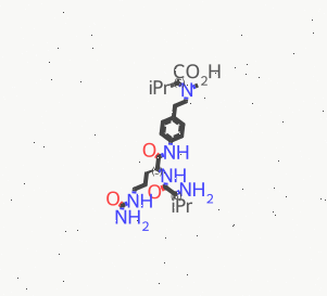 CC(C)[C@H](N)C(=O)N[C@@H](CCCNC(N)=O)C(=O)Nc1ccc(CCN(C)[C@H](C(=O)O)C(C)C)cc1